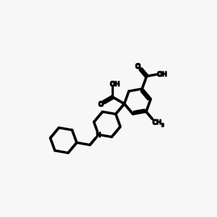 CC1=CC(C(=O)O)(C2CCN(CC3CCCCC3)CC2)CC(C(=O)O)=C1